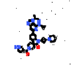 CC(C)n1cnc2cc(-c3ccc4c(c3)N([C@H]3C[C@@H](N5CCCCC5)C3)C(=O)C43CCN(C(=O)[C@@H]4CCNC4)CC3)nc(NC3CC3)c21